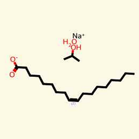 CC(C)O.CCCCCCCC/C=C\CCCCCCCC(=O)[O-].O.[Na+]